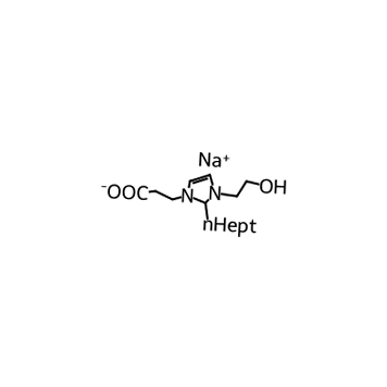 CCCCCCCC1N(CCO)C=CN1CCC(=O)[O-].[Na+]